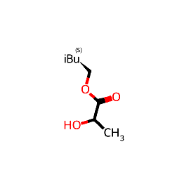 CC[C@H](C)COC(=O)C(C)O